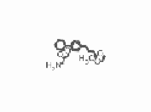 CC1(CCCc2ccc(C3CCCCC34OC[C@@H](CN)O4)cc2)OCCO1